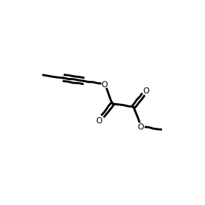 CC#COC(=O)C(=O)OC